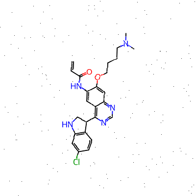 C=CC(=O)Nc1cc2c(C3CNc4cc(Cl)ccc43)ncnc2cc1OCCCCN(C)C